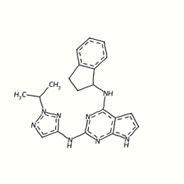 CC(C)n1ncc(Nc2nc(NC3CCc4ccccc43)c3cc[nH]c3n2)n1